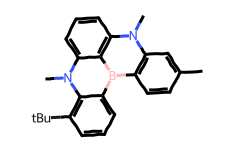 Cc1ccc2c(c1)N(C)c1cccc3c1B2c1cccc(C(C)(C)C)c1N3C